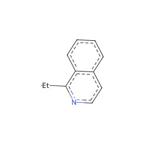 C[CH]c1nccc2ccccc12